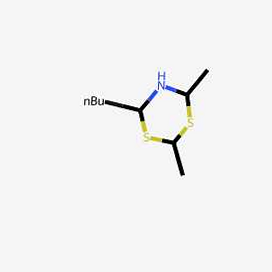 CCCCC1NC(C)SC(C)S1